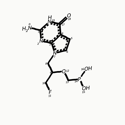 Nc1nc2c(ccn2CC(CF)OCP(O)O)c(=O)[nH]1